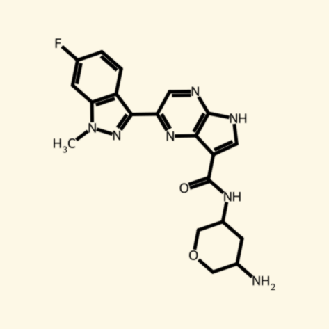 Cn1nc(-c2cnc3[nH]cc(C(=O)NC4COCC(N)C4)c3n2)c2ccc(F)cc21